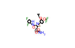 CC(C)(C)CC(OC(N)=O)c1sc(-c2ccc(OC(F)F)c(OCC3CC3)c2)nc1C(=O)NCc1ccc(F)cc1F